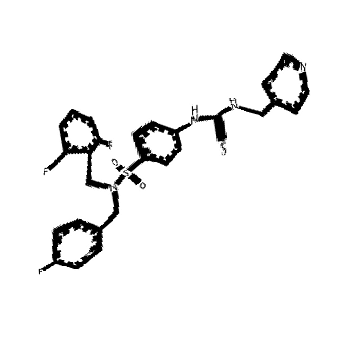 O=S(=O)(c1ccc(NC(=S)NCc2ccncc2)cc1)N(Cc1ccc(F)cc1)Cc1c(F)cccc1F